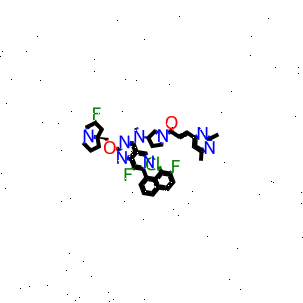 Cc1cc(/C=C/C(=O)N2CC[C@@H](N(C)c3nc(OC[C@@]45CCCN4C[C@H](F)C5)nc4c(F)c(-c5cccc6ccc(F)c(Cl)c56)ncc34)C2)nc(C)n1